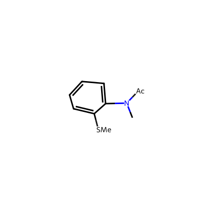 CSc1ccccc1N(C)C(C)=O